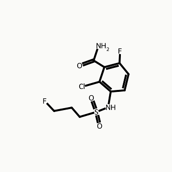 NC(=O)c1c(F)ccc(NS(=O)(=O)CCCF)c1Cl